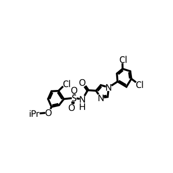 CC(C)Oc1ccc(Cl)c(S(=O)(=O)NC(=O)c2cn(-c3cc(Cl)cc(Cl)c3)cn2)c1